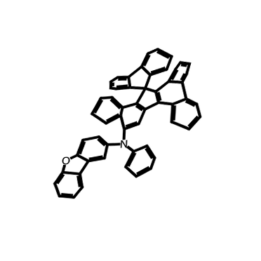 c1ccc(N(c2ccc3oc4ccccc4c3c2)c2cc3c(c4ccccc24)C2(c4ccccc4-c4ccccc42)c2c-3c3ccccc3c3ccccc23)cc1